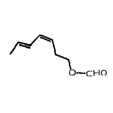 C/C=C/C=C\CCOC=O